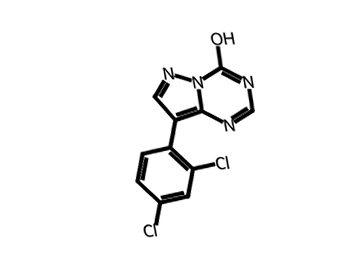 Oc1ncnc2c(-c3ccc(Cl)cc3Cl)cnn12